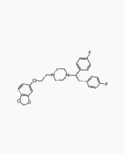 Fc1ccc(CC(c2ccc(F)cc2)N2CCN(CCOc3ccc4c(c3)OCO4)CC2)cc1